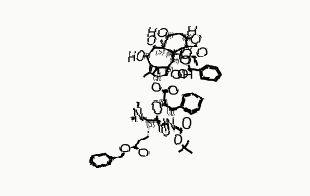 CC(=O)O[C@@]12CO[C@@H]1C[C@H](O)[C@@]1(C)C(=O)[C@H](O)C3=C(C)[C@@H](OC(=O)[C@H](OC(=O)[C@H](CCC(=O)OCc4ccccc4)N(C)C)[C@@H](NC(=O)OC(C)(C)C)c4ccccc4)C[C@@](O)([C@@H](OC(=O)c4ccccc4)[C@H]21)C3(C)C